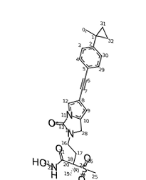 [CH2]C1(c2ccc(C#Cc3cc4n(c3)C(=O)N(CC[C@](C)(C(=O)NO)S(C)(=O)=O)C4)cc2)CC1